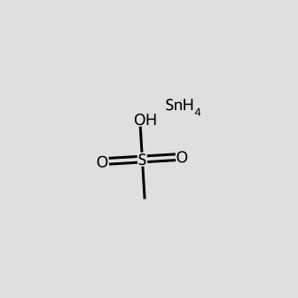 CS(=O)(=O)O.[SnH4]